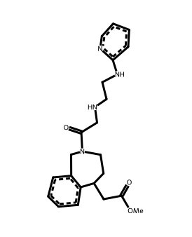 COC(=O)CC1CCN(C(=O)CNCCNc2ccccn2)Cc2ccccc21